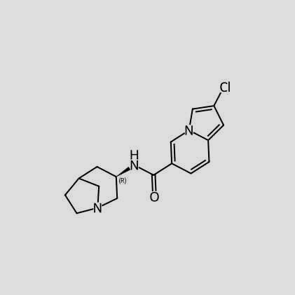 O=C(N[C@@H]1CC2CCN(C2)C1)c1ccc2cc(Cl)cn2c1